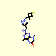 Cc1nc(NCc2cnn(CC3(C)CC(F)(F)C3)c2)nc2c1NC(=O)CN2C